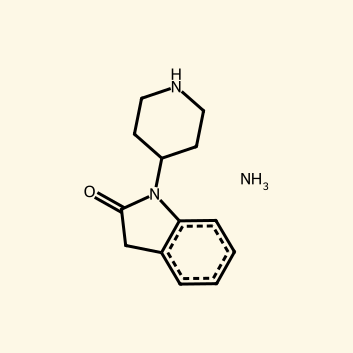 N.O=C1Cc2ccccc2N1C1CCNCC1